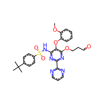 COc1ccccc1Oc1c(NS(=O)(=O)c2ccc(C(C)(C)C)cc2)nc(-c2ncccn2)nc1OCCC=O